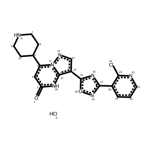 Cl.O=c1cc(C2CCNCC2)n2ncc(-c3nc(-c4cccnc4Cl)no3)c2[nH]1